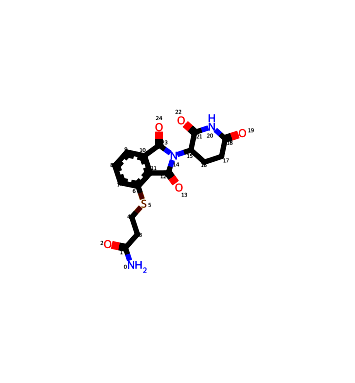 NC(=O)CCSc1cccc2c1C(=O)N(C1CCC(=O)NC1=O)C2=O